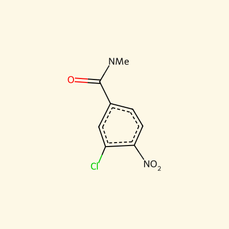 CNC(=O)c1ccc([N+](=O)[O-])c(Cl)c1